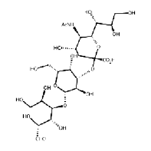 CC(=O)N[C@H]1[C@H]([C@H](O)[C@H](O)CO)O[C@@](O[C@H]2[C@@H](O)[C@@H](CO)O[C@@H](O[C@@H]([C@H](O)[C@@H](O)C=O)[C@H](O)CO)[C@@H]2O)(C(=O)O)C[C@@H]1O